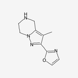 Cc1c(-c2ncco2)nn2c1CNCC2